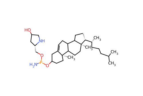 CC(C)CCC[C@@H](C)[C@H]1CCC2C3CC=C4CC(OP(N)OC[C@@H]5CC(O)CN5)CC[C@]4(C)C3CC[C@@]21C